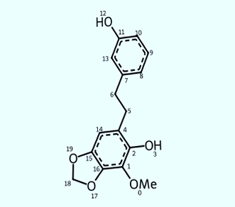 COc1c(O)c(CCc2cccc(O)c2)cc2c1OCO2